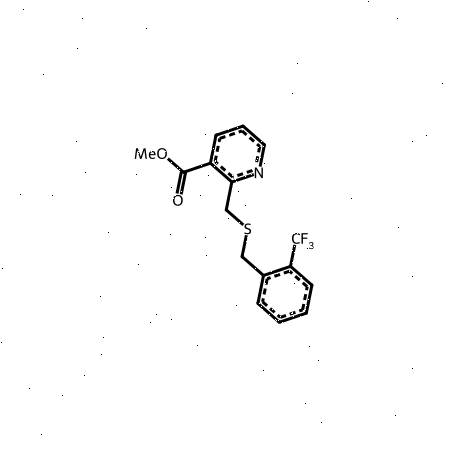 COC(=O)c1cccnc1CSCc1ccccc1C(F)(F)F